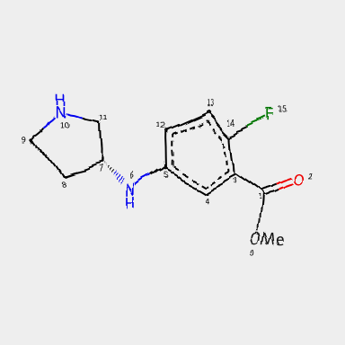 COC(=O)c1cc(N[C@@H]2CCNC2)ccc1F